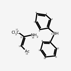 B(c1ccccc1)c1ccccc1.CC(=O)/C=C(\N)C(Cl)(Cl)Cl